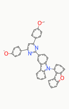 COc1ccc(-c2cc(-c3ccc(OC)cc3)nc(-c3ccc4c(c3)c3ccccc3n4-c3cccc4oc5ccccc5c34)n2)cc1